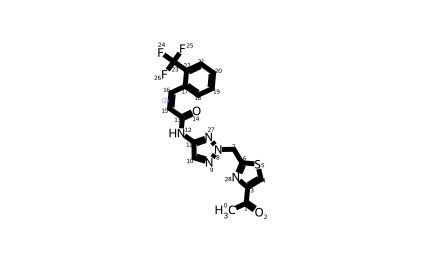 CC(=O)c1csc(Cn2ncc(NC(=O)/C=C\c3ccccc3C(F)(F)F)n2)n1